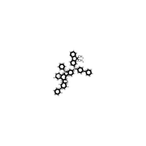 CC1(C)c2ccccc2-c2ccc(N(c3ccc(-c4ccccc4)cc3)c3ccc4c5c6sc7ccc(-c8ccccc8)cc7c6c6c(c5n(-c5ccccc5)c4c3)CCC=C6)cc21